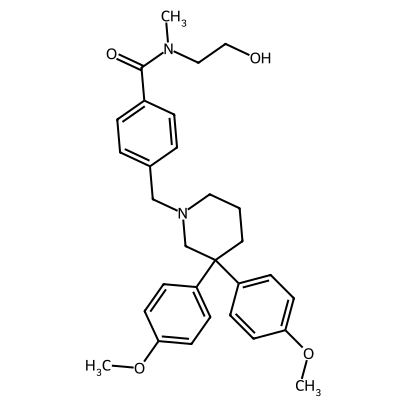 COc1ccc(C2(c3ccc(OC)cc3)CCCN(Cc3ccc(C(=O)N(C)CCO)cc3)C2)cc1